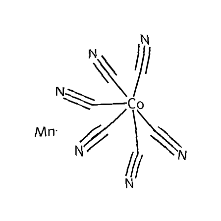 N#[C][Co]([C]#N)([C]#N)([C]#N)([C]#N)[C]#N.[Mn]